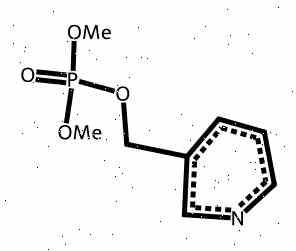 COP(=O)(OC)OCc1cccnc1